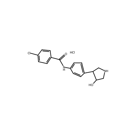 Cl.O=C(Nc1ccc(C2CNCC2O)cc1)c1ccc(Cl)cc1